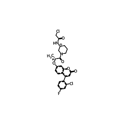 C[C@@H](Oc1ccc2c(-c3ccc(F)cc3Cl)cc(=O)oc2c1)C(=O)N1CCC[C@H](NC(=O)CCl)C1